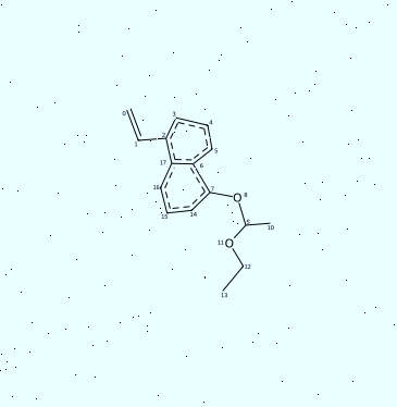 C=Cc1cccc2c(OC(C)OCC)cccc12